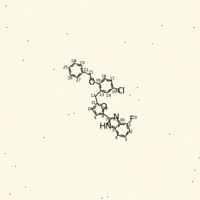 Fc1cccc2[nH]c(-c3ccc(Cc4cc(Cl)ccc4OCc4ccccc4)o3)nc12